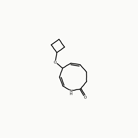 O=C1CC/C=C\C(OC2CCC2)/C=C\N1